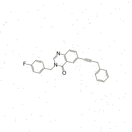 O=c1c2cc(C#CCc3ccccc3)ccc2ncn1Cc1ccc(F)cc1